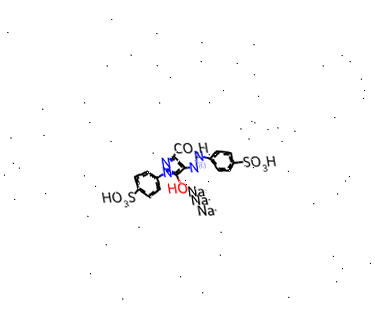 O=C(O)c1nn(-c2ccc(S(=O)(=O)O)cc2)c(O)c1/N=N/c1ccc(S(=O)(=O)O)cc1.[Na].[Na].[Na]